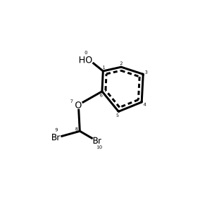 Oc1ccccc1OC(Br)Br